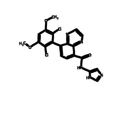 COc1cc(OC)c(Cl)c(-c2ccc(C(=O)Nc3cnc[nH]3)c3nccnc23)c1Cl